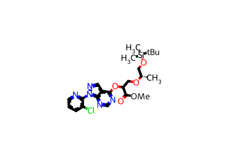 COC(=O)C(CO[C@@H](C)CO[Si](C)(C)C(C)(C)C)Oc1ncnc2c1cnn2-c1ncccc1Cl